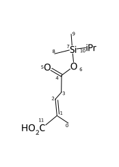 CC(=CCC(=O)O[Si](C)(C)C(C)C)C(=O)O